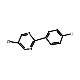 Clc1ccc(-c2ncc(Cl)cn2)cc1